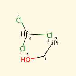 CC(C)CO.[Cl][Hf]([Cl])[Cl]